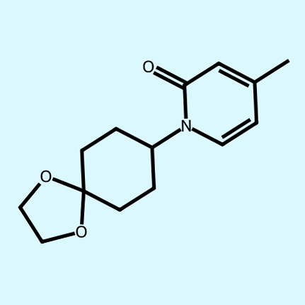 Cc1ccn(C2CCC3(CC2)OCCO3)c(=O)c1